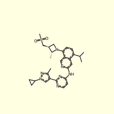 Cc1nn(C2CC2)cc1-c1nccc(Nc2cc3c(C(C)C)ccc(N4C[C@H](CS(C)(=O)=O)[C@H]4C)c3cn2)n1